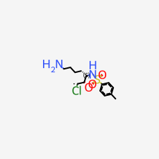 Cc1ccc(S(=O)(=O)N[C@@H](CCCCN)C(=O)[CH]Cl)cc1